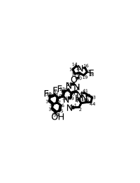 N#CCC1CN(c2nc(OC[C@@]34CCCN3C[C@H](F)C4)nc3c(F)c(-c4c(F)c(F)cc5cc(O)ccc45)ncc23)CC2CCC1N2